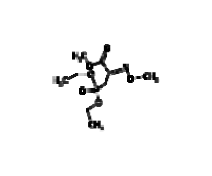 CCOP(=O)(C/C(=N\OC)C(=O)OC)OCC